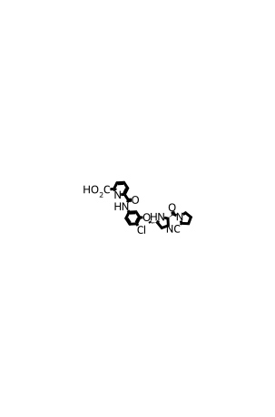 N#C[C@@H]1CCCN1C(=O)[C@@H]1CC[C@H](COc2cc(NC(=O)c3cccc(C(=O)O)n3)ccc2Cl)N1